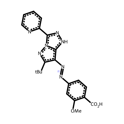 COc1cc(/N=N/c2c(C(C)(C)C)nn3c(-c4ccccn4)n[nH]c23)ccc1C(=O)O